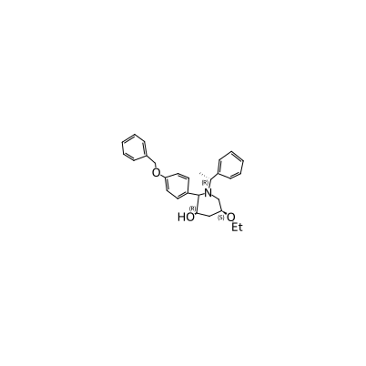 CCO[C@H]1C[C@@H](O)C(c2ccc(OCc3ccccc3)cc2)N([C@H](C)c2ccccc2)C1